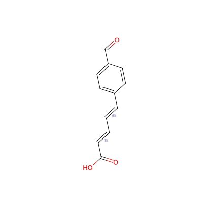 O=Cc1ccc(/C=C/C=C/C(=O)O)cc1